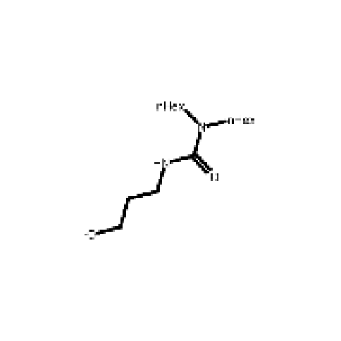 CCCCCCN(CCCCCC)C(=O)NCCC[O]